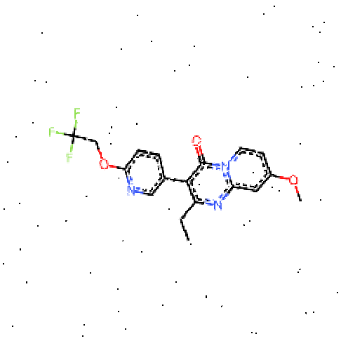 CCc1nc2cc(OC)ccn2c(=O)c1-c1ccc(OCC(F)(F)F)nc1